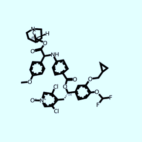 COc1ccc(C(Nc2ccc(C(=O)O[C@@H](Cc3c(Cl)c[n+]([O-])cc3Cl)c3ccc(OC(F)F)c(OCC4CC4)c3)cc2)C(=O)O[C@H]2CN3CCC2CC3)cc1